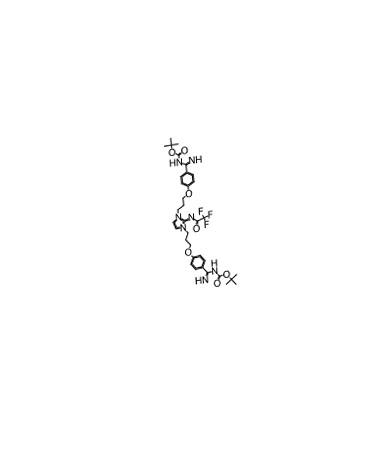 CC(C)(C)OC(=O)NC(=N)c1ccc(OCCCn2ccn(CCCOc3ccc(C(=N)NC(=O)OC(C)(C)C)cc3)c2=NC(=O)C(F)(F)F)cc1